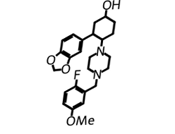 COc1ccc(F)c(CN2CCN(C3CCC(O)CC3c3ccc4c(c3)OCO4)CC2)c1